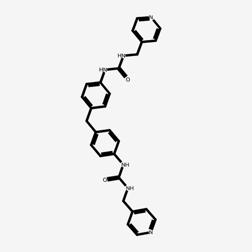 O=C(NCc1ccncc1)Nc1ccc(Cc2ccc(NC(=O)NCc3ccncc3)cc2)cc1